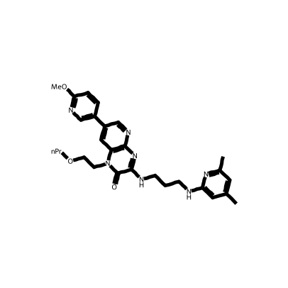 CCCOCCn1c(=O)c(NCCCNc2cc(C)cc(C)n2)nc2ncc(-c3ccc(OC)nc3)cc21